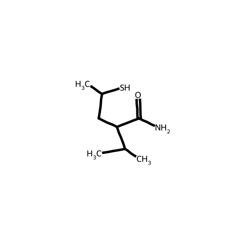 CC(S)CC(C(N)=O)C(C)C